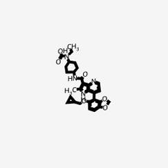 CCN(C(=O)O)C1CCC(NC(=O)c2c(C)[nH]c3c(-c4c(OCC5CC5)ccc5c4OCO5)ccnc23)CC1